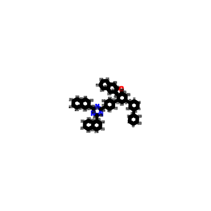 c1ccc(-c2cccc(-c3cc(-c4ccc(-c5nc(-c6ccc7ccccc7c6)nc(-c6cccc7ccccc67)n5)cc4)c4c(c3)oc3cc5ccccc5cc34)c2)cc1